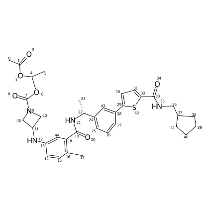 CC(=O)OC(C)OC(=O)N1CC(Nc2ccc(C)c(C(=O)N[C@H](C)c3cccc(-c4ccc(C(=O)NCC5CCCC5)s4)c3)c2)C1